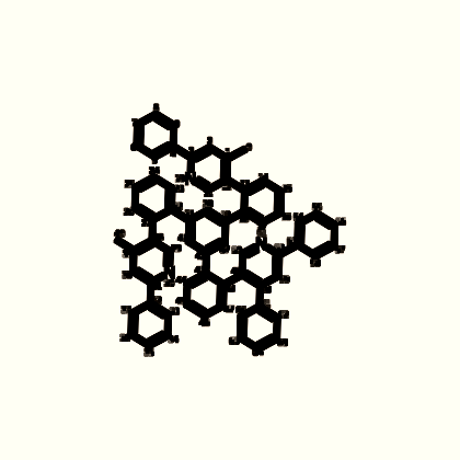 Cc1cc(-c2ccccc2)ncc1-c1ccccc1-c1cc(-c2ccccc2-c2cnc(-c3ccccc3)cc2C)cc(-c2ccccc2-c2cnc(-c3ccccc3)cc2-c2ccccc2)c1